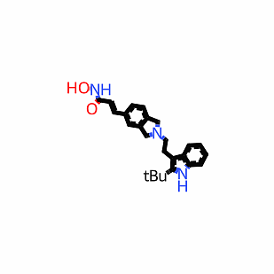 CC(C)(C)c1[nH]c2ccccc2c1CCN1Cc2ccc(C=CC(=O)NO)cc2C1